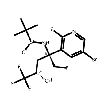 CC(C)(C)[S+]([O-])N[C@@](CF)(C[C@H](O)C(F)(F)F)c1cc(Br)cnc1F